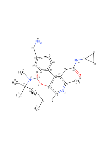 Cc1nc(CC(C)C)c(OC(=O)N(C)C(C)(C)C)c(-c2ccc(CN)cc2)c1CC(=O)NC1CC1